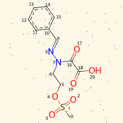 CS(=O)(=O)OCCN(N=Cc1ccccc1)C(=O)C(=O)O